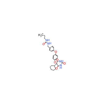 CCCNC(=O)NCc1ccc(Oc2ccc(OC3(C4CCCCC4)C(=O)NC(=O)NC3=O)cc2)cc1